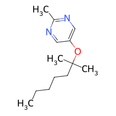 CCCCCC(C)(C)Oc1cnc(C)nc1